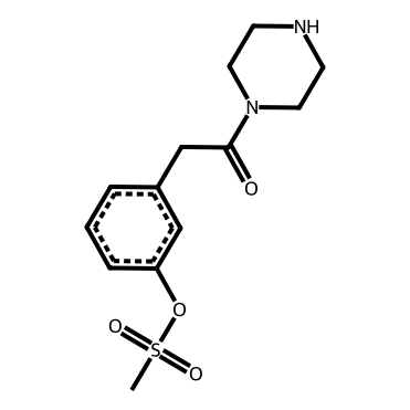 CS(=O)(=O)Oc1cccc(CC(=O)N2CCNCC2)c1